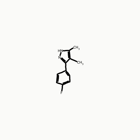 Cc1[nH]nc(-c2ccc(F)cc2)c1C